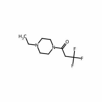 CCN1CCN(C(=O)CC(F)(F)F)CC1